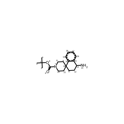 CC(C)(C)OC(=O)N1CCC2(CCC(N)c3ccccc32)CC1